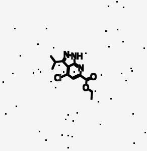 CCOC(=O)c1cc(Cl)c2c(C(C)C)n[nH]c2n1